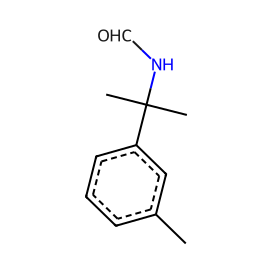 Cc1cccc(C(C)(C)NC=O)c1